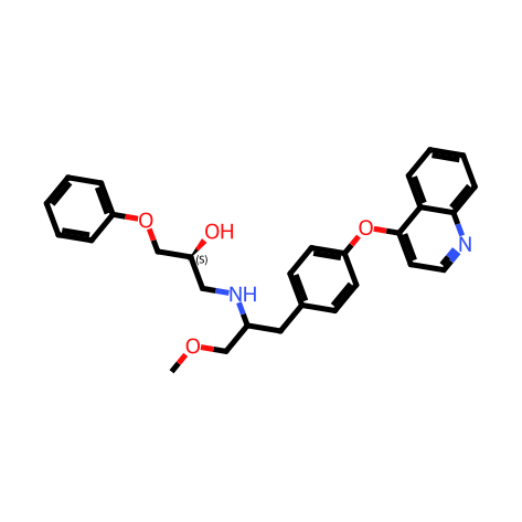 COCC(Cc1ccc(Oc2ccnc3ccccc23)cc1)NC[C@H](O)COc1ccccc1